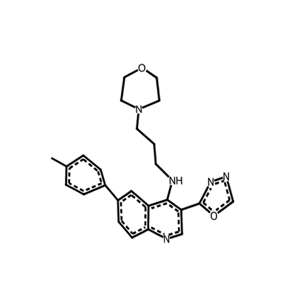 Cc1ccc(-c2ccc3ncc(-c4nnco4)c(NCCCN4CCOCC4)c3c2)cc1